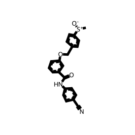 C[S+]([O-])c1ccc(COc2cccc(C(=O)Nc3ccc(C#N)cc3)c2)cc1